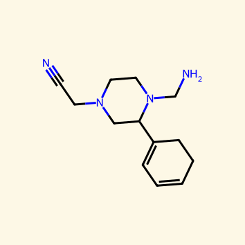 N#CCN1CCN(CN)C(C2=CC=CCC2)C1